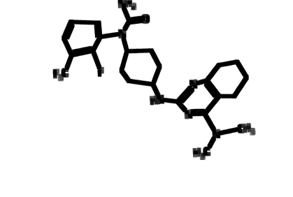 CN(C)c1nc(NC2CCC(N(C(N)=O)c3cccc(C(F)(F)F)c3F)CC2)nc2c1CCCC2